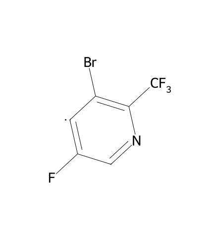 Fc1[c]c(Br)c(C(F)(F)F)nc1